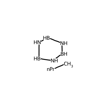 B1NBNBN1.CCCC